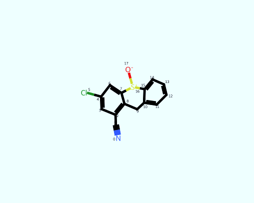 N#Cc1cc(Cl)cc2c1Cc1ccccc1[S+]2[O-]